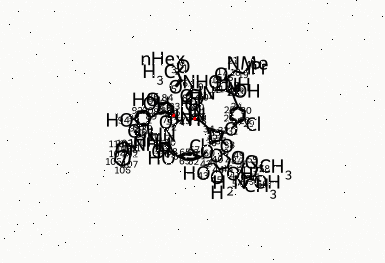 CCCCCCOC(C)C(=O)NC(=O)C[C@@H]1NC(=O)[C@H](NC(=O)[C@@H](CC(C)C)NC)[C@H](O)c2ccc(c(Cl)c2)Oc2cc3cc(c2O[C@@H]2O[C@H](CO)[C@@H](O)[C@H](O)[C@H]2O[C@H]2C[C@](C)(N)[C@H](O)[C@H](C)O2)Oc2ccc(cc2Cl)[C@@H](O)[C@@H]2NC(=O)[C@H](NC(=O)[C@@H]3NC1=O)c1ccc(O)c(c1)-c1c(O)cc(O)cc1[C@@H](C(=O)NC1C3CC4CC(C3)CC1C4)NC2=O